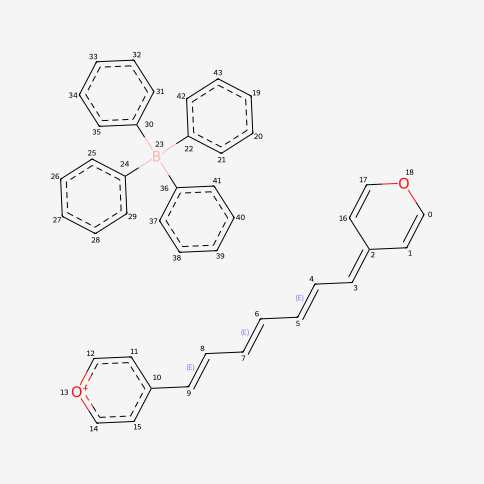 C1=CC(=C/C=C/C=C/C=C/c2cc[o+]cc2)C=CO1.c1ccc([B-](c2ccccc2)(c2ccccc2)c2ccccc2)cc1